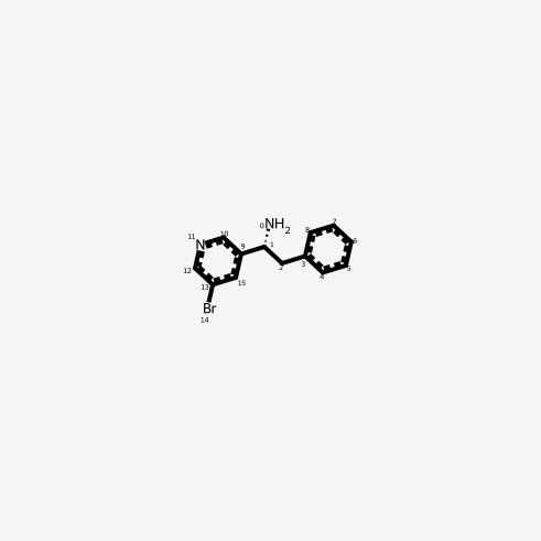 N[C@H](Cc1ccccc1)c1cncc(Br)c1